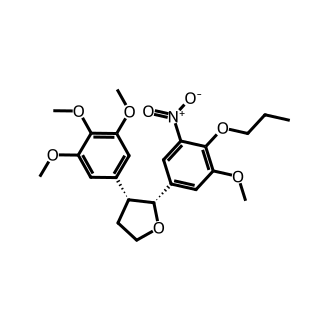 CCCOc1c(OC)cc([C@@H]2OCC[C@@H]2c2cc(OC)c(OC)c(OC)c2)cc1[N+](=O)[O-]